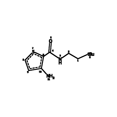 CC(C)(C)CCNC(=O)c1sccc1N